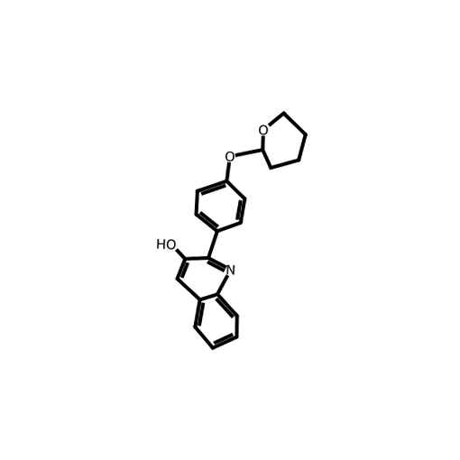 Oc1cc2ccccc2nc1-c1ccc(OC2CCCCO2)cc1